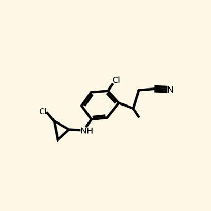 CC(CC#N)c1cc(NC2CC2Cl)ccc1Cl